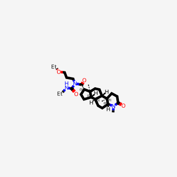 CCNC(=O)N(CCCOCC)C(=O)[C@H]1CC[C@H]2[C@@H]3CC[C@H]4N(C)C(=O)CC[C@]4(C)[C@H]3CC[C@]12C